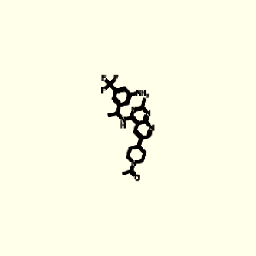 CC(=O)N1CCC(c2cnc3nc(C)nc(NC(C)c4cc(N)cc(C(F)(F)F)c4)c3c2)CC1